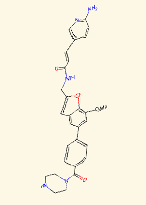 COc1cc(-c2ccc(C(=O)N3CCNCC3)cc2)cc2cc(CNC(=O)C=Cc3ccc(N)nc3)oc12